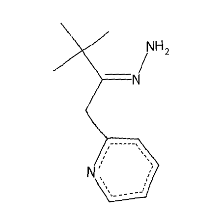 CC(C)(C)C(Cc1ccccn1)=NN